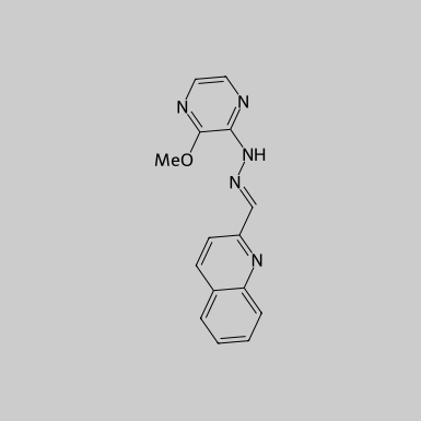 COc1nccnc1N/N=C/c1ccc2ccccc2n1